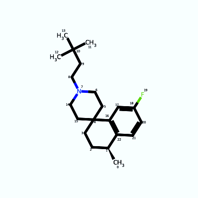 C[C@H]1CCC2(CCN(CCC(C)(C)C)CC2)c2cc(F)ccc21